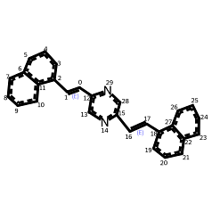 C(=C\c1cccc2ccccc12)/c1cnc(/C=C/c2cccc3ccccc23)cn1